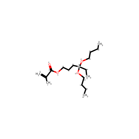 C=C(C)C(=O)OCCC[Si](CC)(OCCCC)OCCCC